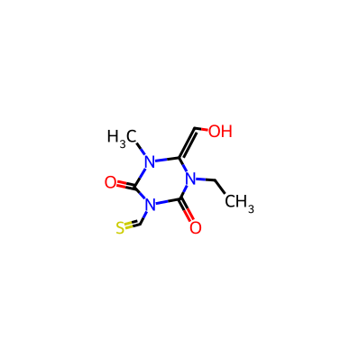 CCN1C(=O)N(C=S)C(=O)N(C)/C1=C/O